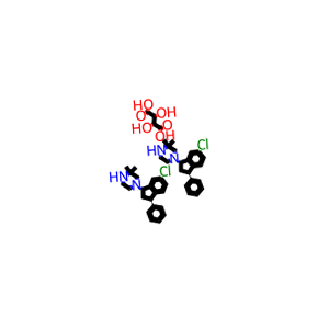 CC1(C)CN([C@@H]2C[C@@H](c3ccccc3)c3ccc(Cl)cc32)CCN1.CC1(C)CN([C@@H]2C[C@@H](c3ccccc3)c3ccc(Cl)cc32)CCN1.O=C(O)C(O)C(O)C(=O)O